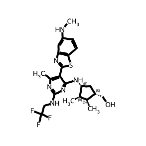 CNc1ccc2sc(-c3c(C)nc(NCC(F)(F)F)nc3N[C@@H]3C[C@H](CO)[C@@H](C)[C@H]3C)nc2c1